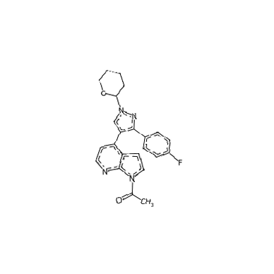 CC(=O)n1ccc2c(-c3cn(C4CCCCO4)nc3-c3ccc(F)cc3)ccnc21